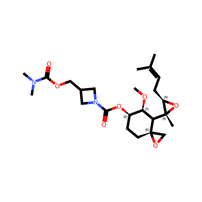 CO[C@H]1C([C@@]2(C)O[C@@H]2CC=C(C)C)[C@]2(CC[C@H]1OC(=O)N1CC(COC(=O)N(C)C)C1)CO2